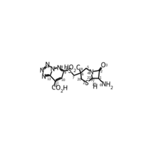 NC1C(=O)N2CC(CSc3cc(C(=O)O)c4nnnn4n3)(C(=O)O)CS[C@H]12